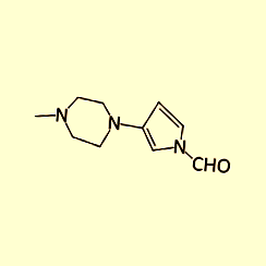 CN1CCN(c2ccn(C=O)c2)CC1